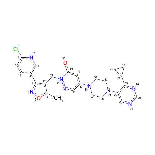 Cc1onc(-c2ccc(Cl)nc2)c1Cn1ncc(N2CCN(c3cncnc3C3CC3)CC2)cc1=O